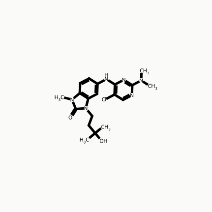 CN(C)c1ncc(Cl)c(Nc2ccc3c(c2)n(CCC(C)(C)O)c(=O)n3C)n1